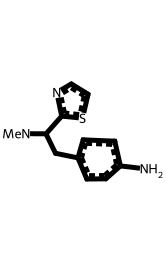 CNC(Cc1ccc(N)cc1)c1nccs1